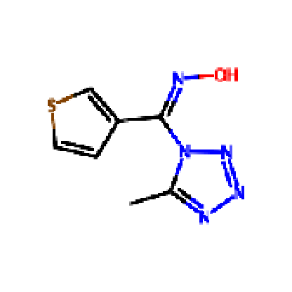 Cc1nnnn1/C(=N\O)c1ccsc1